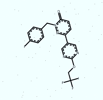 O=c1ccc(-c2cnc(OCC(F)(F)I)nc2)nn1Cc1ccc(I)cc1